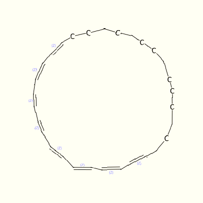 [C]1=C/C=C\C=C/C=C\C=C/C=C\C=C/C=C\CCCCCCCCCCCCCC\1